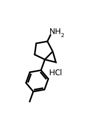 Cc1ccc(C23CCC(N)C2C3)cc1.Cl